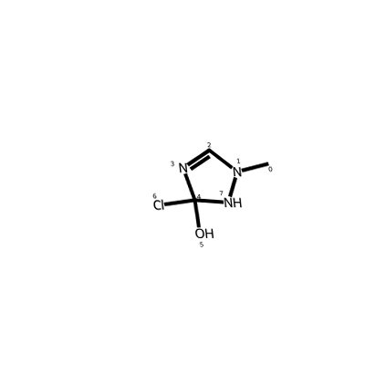 CN1C=NC(O)(Cl)N1